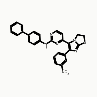 O=[N+]([O-])c1cccc(-c2nc3n(c2-c2ccnc(Nc4ccc(-c5ccccc5)cc4)n2)CCS3)c1